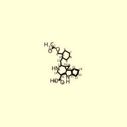 CC(=O)OCC1CCCCC1CC1NCC(C(=O)O)=C2Nc3ccccc3C23CC13